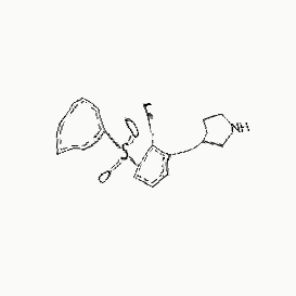 O=S(=O)(c1ccccc1)c1cccc(C2CCNC2)c1F